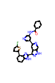 O=C(Nc1cncc(-c2cc3c(-c4nc5c(-c6ccc(F)s6)cccc5[nH]4)n[nH]c3cn2)c1)c1ccccc1